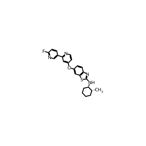 C[C@@H]1CCCC[C@H]1Nc1nc2ccc(Oc3ccnc(-c4ccc(F)nc4)c3)cc2s1